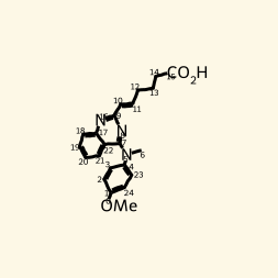 COc1ccc(N(C)c2nc(C=CCCCC(=O)O)nc3ccccc23)cc1